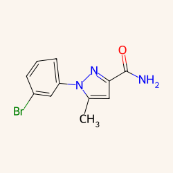 Cc1cc(C(N)=O)nn1-c1cccc(Br)c1